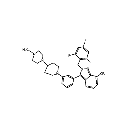 CN1CCN(C2CCN(c3cccc(-c4c5cccc(C(F)(F)F)c5nn4Cc4c(F)cc(F)cc4F)c3)CC2)CC1